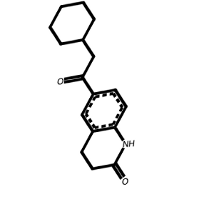 O=C1CCc2cc(C(=O)CC3CCCCC3)ccc2N1